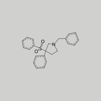 O=S(=O)(c1ccccc1)C1(c2ccccc2)CCN(Cc2ccccc2)C1